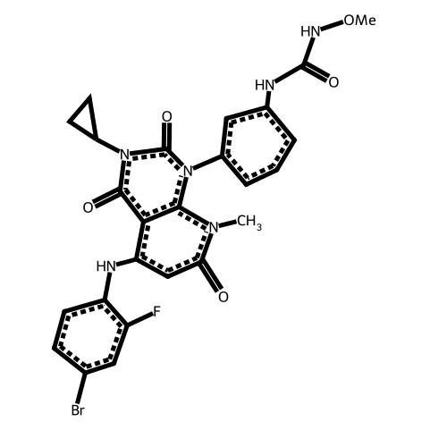 CONC(=O)Nc1cccc(-n2c(=O)n(C3CC3)c(=O)c3c(Nc4ccc(Br)cc4F)cc(=O)n(C)c32)c1